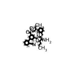 CCCC[C@@H](N)[C@H](Cc1ccccc1)NC(=O)c1cc(C(=O)N(C)CCCC)cc(-c2ccccc2C#N)c1